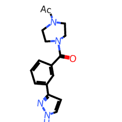 CC(=O)N1CCN(C(=O)c2cccc(-c3cc[nH]n3)c2)CC1